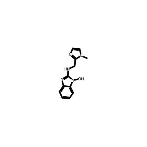 Cn1ccnc1CNc1nc2ccccc2n1O